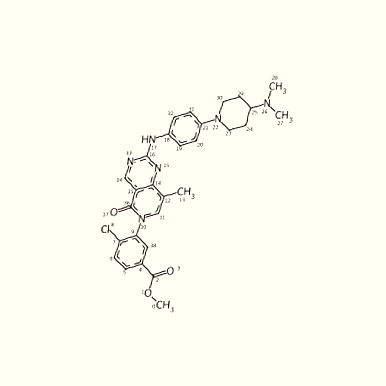 COC(=O)c1ccc(Cl)c(-n2cc(C)c3nc(Nc4ccc(N5CCC(N(C)C)CC5)cc4)ncc3c2=O)c1